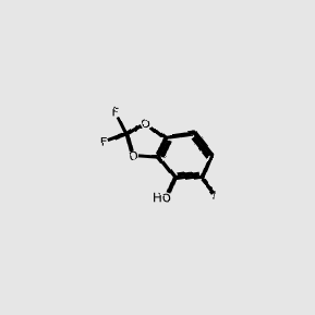 Oc1c(I)ccc2c1OC(F)(F)O2